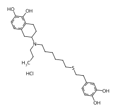 CCCN(CCCCCCSCCc1ccc(O)c(O)c1)C1CCc2c(ccc(O)c2O)C1.Cl